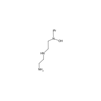 CC(C)N(O)CCNCCN